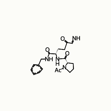 CC(=O)N1CCC[C@H]1C(=O)N[C@@H](CCC(=O)C=N)C(=O)NCc1ccccc1